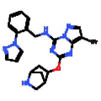 CC(C)c1cnn2c(NCc3ccccc3-n3cccn3)nc(OC3CC4CC3CN4)nc12